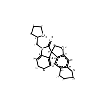 O=C1N(C[C@H]2CCCO2)C2=CCCC=C2C12COc1cc3c(cc12)CCCC3